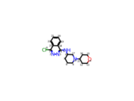 Clc1nnc(NC2CCCN(C3CCOCC3)C2)c2ccccc12